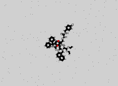 CCOC(OCC)[C@H](C)N(Cc1cccc2ccccc12)C(=O)[C@H](CC(=O)NC(c1ccccc1)(c1ccccc1)c1ccccc1)NC(=O)CONC(=O)NCc1ccc(Cl)cc1